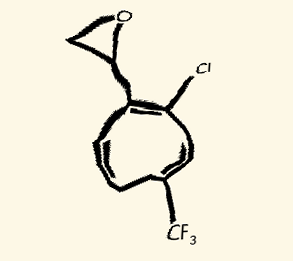 FC(F)(F)c1ccc(C2CO2)c(Cl)c1